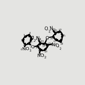 O=[N+]([O-])c1ccccc1Oc1c([N+](=O)[O-])cc([N+](=O)[O-])c(Oc2ccccc2[N+](=O)[O-])c1[N+](=O)[O-]